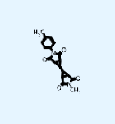 Cc1ccc(N2C(=O)C3C(C2=O)C3C2C3C(=O)N(C)C(=O)C32)cc1